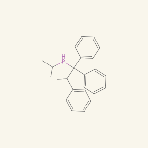 CC(C)PC(c1ccccc1)(c1ccccc1)C(C)c1ccccc1